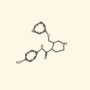 O=C(Nc1ccc(O)cc1)N1CCNCC1COc1cccnc1